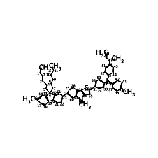 CCCCCCC1(CCCCCC)c2cc(C)ccc2-c2ccc(-c3ccc4c5sc(-c6ccc(N(c7ccc(C)cc7)c7ccc(C(C)CC)cc7)cc6)cc5n(C)c4c3)cc21